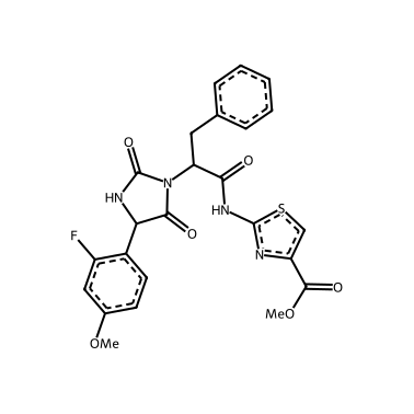 COC(=O)c1csc(NC(=O)C(Cc2ccccc2)N2C(=O)NC(c3ccc(OC)cc3F)C2=O)n1